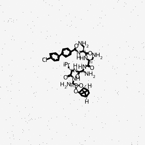 CC(C)C[C@H](NC(=O)[C@H](N)NC(=O)[C@H](CN)NC(=O)[C@H](CN)NC(=O)c1ccc(-c2ccc(Cl)cc2)cc1)C(=O)N[C@@H](N)B1OC2C[C@@H]3C[C@@H](C3(C)C)[C@]2(C)O1